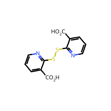 O=C(O)c1cccnc1SSc1ncccc1C(=O)O